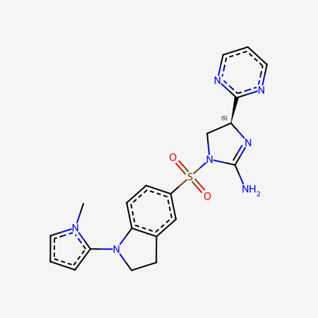 Cn1cccc1N1CCc2cc(S(=O)(=O)N3C[C@@H](c4ncccn4)N=C3N)ccc21